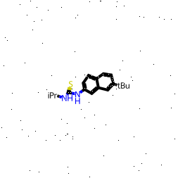 CC(C)NC(=S)Nc1ccc2ccc(C(C)(C)C)cc2c1